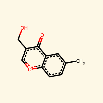 Cc1ccc2occ(CO)c(=O)c2c1